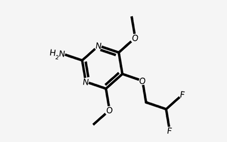 COc1nc(N)nc(OC)c1OCC(F)F